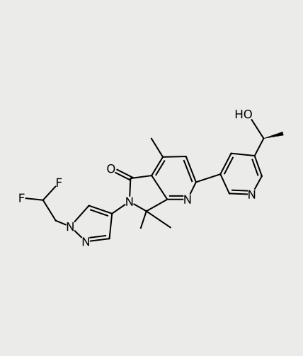 Cc1cc(-c2cncc([C@H](C)O)c2)nc2c1C(=O)N(c1cnn(CC(F)F)c1)C2(C)C